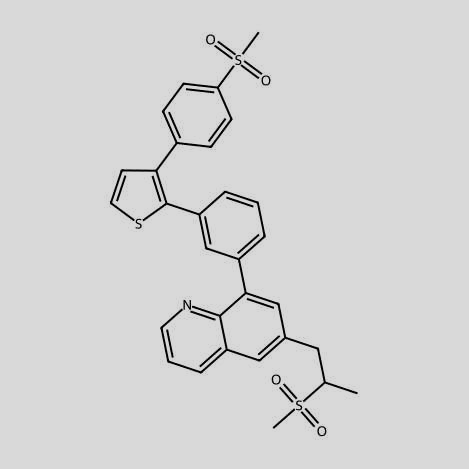 CC(Cc1cc(-c2cccc(-c3sccc3-c3ccc(S(C)(=O)=O)cc3)c2)c2ncccc2c1)S(C)(=O)=O